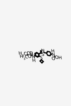 CC(C)(C)OC(=O)Nc1ccc(-c2cnc(C3CCC(NC(=O)O)CC3)s2)c(SC2CCC2)c1